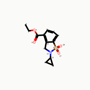 CCOC(=O)c1cccc2c1CN(C1CC1)S2(=O)=O